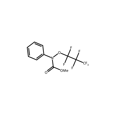 [CH2]OC(=O)N(OC(F)(F)C(F)(F)C(F)(F)F)c1ccccc1